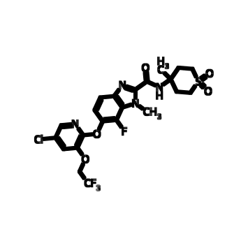 Cn1c(C(=O)NC2(C)CCS(=O)(=O)CC2)nc2ccc(Oc3ncc(Cl)cc3OCC(F)(F)F)c(F)c21